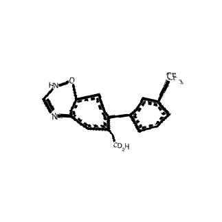 O=C(O)c1cc2c(cc1-c1cccc(C(F)(F)F)c1)ONC=N2